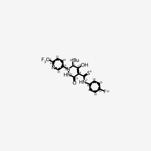 CC(C)(C)C1C(O)=C(C(=S)Nc2ccc(F)cc2)C(=O)NN1c1ccc(C(F)(F)F)nc1